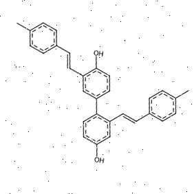 Cc1ccc(/C=C/c2cc(-c3ccc(O)cc3/C=C/c3ccc(C)cc3)ccc2O)cc1